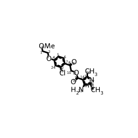 COCCOc1ccc(C(=O)COC(=O)c2c(C)nn(C)c2N)c(Cl)c1